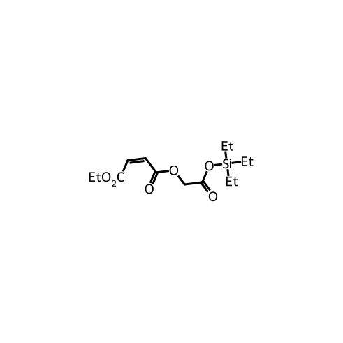 CCOC(=O)/C=C\C(=O)OCC(=O)O[Si](CC)(CC)CC